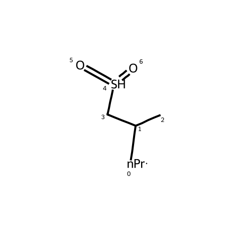 CC[CH]C(C)C[SH](=O)=O